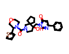 O=C(N1CCC(O)(Cn2cnc(-c3ccccc3)cc2=O)C2(CCCC2)C1)N1CCOCC1c1cccs1